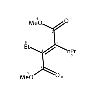 CCCC(C(=O)OC)=C(CC)C(=O)OC